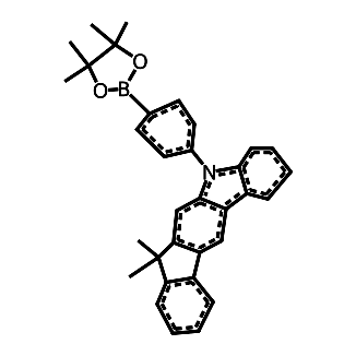 CC1(C)c2ccccc2-c2cc3c4ccccc4n(-c4ccc(B5OC(C)(C)C(C)(C)O5)cc4)c3cc21